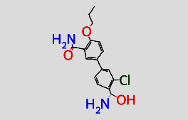 CCCOc1ccc(-c2ccc([C@@H](N)O)c(Cl)c2)cc1C(N)=O